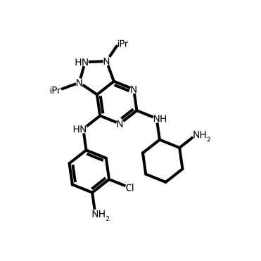 CC(C)N1NN(C(C)C)c2c(Nc3ccc(N)c(Cl)c3)nc(NC3CCCCC3N)nc21